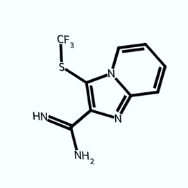 N=C(N)c1nc2ccccn2c1SC(F)(F)F